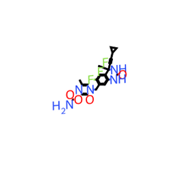 Cc1cn(Cc2cc3c(cc2F)C(C#CC2CC2)(C(C)(F)F)NC(=O)N3)c(=O)c(OC(N)=O)n1